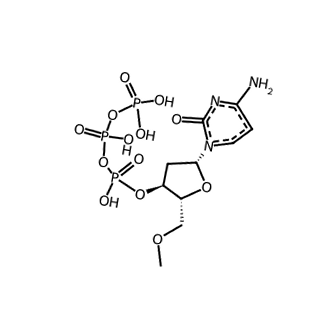 COC[C@H]1O[C@@H](n2ccc(N)nc2=O)C[C@@H]1OP(=O)(O)OP(=O)(O)OP(=O)(O)O